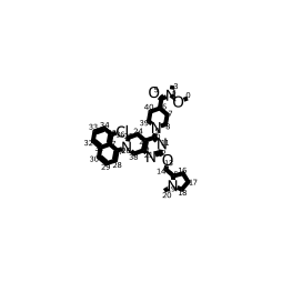 CON(C)C(=O)C1CCN(c2nc(OCC3CCCN3C)nc3c2CCN(c2cccc4cccc(Cl)c24)C3)CC1